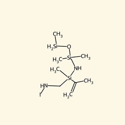 C=C(C)[Si](C)(CNI)N[Si](C)(C)O[SiH2]C